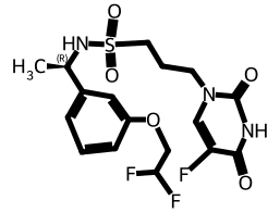 C[C@@H](NS(=O)(=O)CCCn1cc(F)c(=O)[nH]c1=O)c1cccc(OCC(F)F)c1